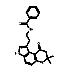 CC1(C)CC(=O)c2c(ccc3[nH]cc(CCNC(=O)c4ccccc4)c23)S1